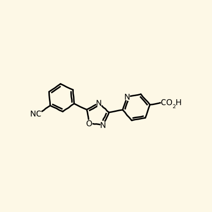 N#Cc1cccc(-c2nc(-c3ccc(C(=O)O)cn3)no2)c1